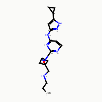 COCCNCC12CC(C1)N(c1nccc(Nc3cc(C4CC4)[nH]n3)n1)C2